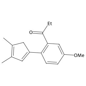 CCC(=O)c1cc(OC)ccc1C1=CC(C)=C(C)C1